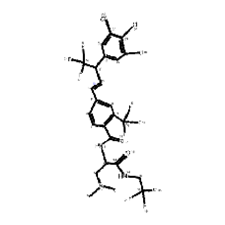 CN(C)CC(NC(=O)c1ccc(/C=C/C(c2cc(Cl)c(Cl)c(Cl)c2)C(F)(F)F)cc1C(F)(F)F)C(=O)NCC(F)(F)F